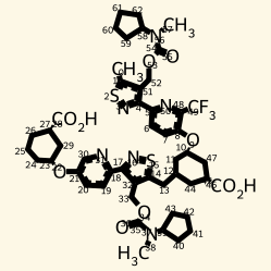 Cc1snc(-c2ccc(O[C@H]3CC(Cc4snc(-c5ccc(O[C@H]6CCC[C@H](C(=O)O)C6)cn5)c4COC(=O)N(C)C4CCCC4)C[C@H](C(=O)O)C3)c(C(F)(F)F)n2)c1COC(=O)N(C)C1CCCC1